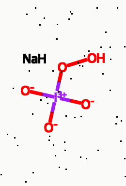 [NaH].[O-][I+3]([O-])([O-])OO